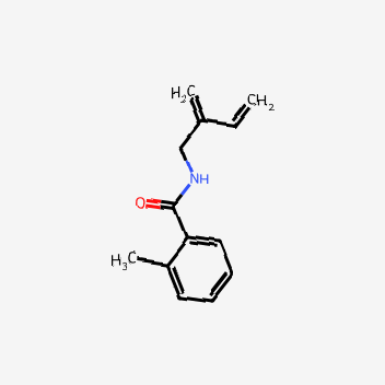 C=CC(=C)CNC(=O)c1ccccc1C